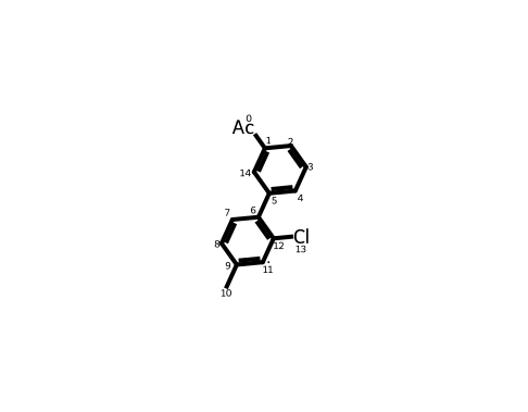 CC(=O)c1cccc(-c2ccc(C)[c]c2Cl)c1